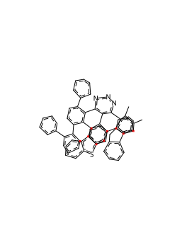 Cc1cc2c(c(-c3nnnc(-c4c(-c5ccccc5)ccc(-c5ccccc5-c5ccccc5)c4-c4cccc5sc6ccccc6c45)c3-c3ccccc3-c3ccccc3)c1C)Cc1ccccc1-2